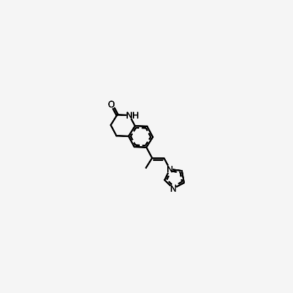 CC(=Cn1ccnc1)c1ccc2c(c1)CCC(=O)N2